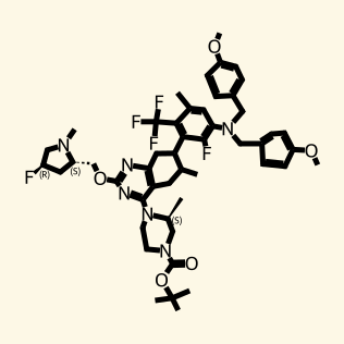 COc1ccc(CN(Cc2ccc(OC)cc2)c2cc(C)c(C(F)(F)F)c(C3Cc4nc(OC[C@@H]5C[C@@H](F)CN5C)nc(N5CCN(C(=O)OC(C)(C)C)C[C@@H]5C)c4CC3C)c2F)cc1